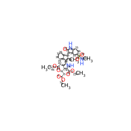 CCOC(=O)CCc1c(C(=O)OCC)[nH]c(C2=C(C)C(C3C(=O)Nc4ccc(S(=O)(=O)NC)cc43)c3ccccc32)c1CC(=O)OCC